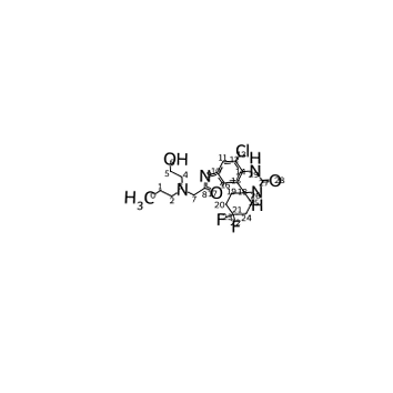 CCCN(CCO)Cc1nc2cc(Cl)c3c(c2o1)C1(CCC(F)(F)CC1)NC(=O)N3